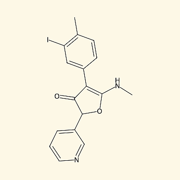 CNC1=C(c2ccc(C)c(I)c2)C(=O)C(c2cccnc2)O1